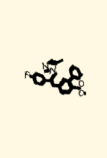 COC(=O)c1ccc(CC(=Cn2cncc2C)c2ccc(F)cc2)cc1-c1ccccc1